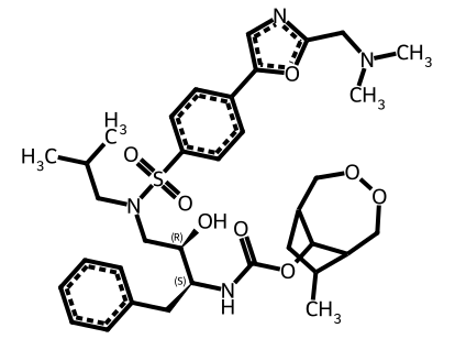 CC(C)CN(C[C@@H](O)[C@H](Cc1ccccc1)NC(=O)OC1C2COOCC1C(C)C2)S(=O)(=O)c1ccc(-c2cnc(CN(C)C)o2)cc1